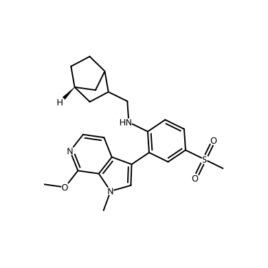 COc1nccc2c(-c3cc(S(C)(=O)=O)ccc3NCC3C[C@@H]4CCC3C4)cn(C)c12